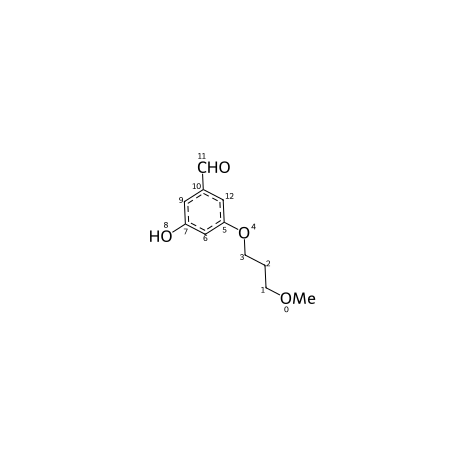 COCCCOc1cc(O)cc(C=O)c1